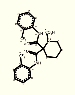 O=C(O)N1CCCCC1(C(=O)Nc1ccccc1C(F)(F)F)C(=O)Nc1ccccc1C(F)(F)F